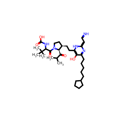 CC(C)C(=O)[C@@H]1[C@H](CCC2=C(O)C(CCCCCC3CCCC3)=N/C(=C/C=N)N2)CCN1C(=O)C(NC(=O)O)C(C)(C)C